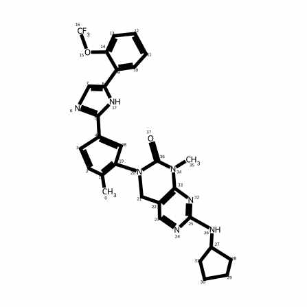 Cc1ccc(-c2ncc(-c3ccccc3OC(F)(F)F)[nH]2)cc1N1Cc2cnc(NC3CCCC3)nc2N(C)C1=O